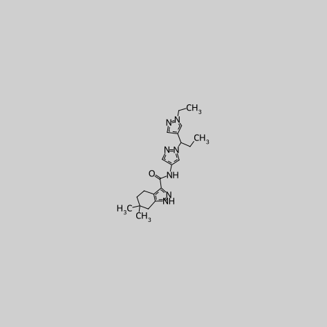 CCC(c1cnn(CC)c1)n1cc(NC(=O)c2n[nH]c3c2CCC(C)(C)C3)cn1